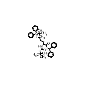 CC(C)(C)OC(=O)NC([CH]CCO[Si](c1ccccc1)(c1ccccc1)C(C)(C)C)C(=O)OC(c1ccccc1)c1ccccc1